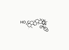 Cc1nc(C(=O)N2CCOCC2)c2c(n1)C(C)(C)C1CC[C@]3(C)C(CC=C4C5[C@@H](C)[C@H](C)CC[C@]5(C(=O)O)CC[C@]43C)[C@@]1(C)C2